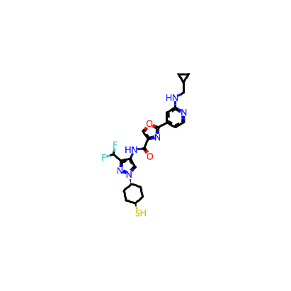 O=C(Nc1cn([C@H]2CC[C@H](S)CC2)nc1C(F)F)c1coc(-c2ccnc(NCC3CC3)c2)n1